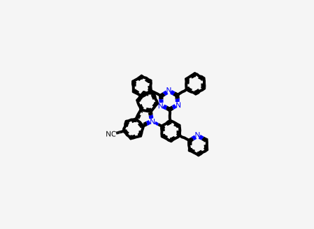 N#Cc1ccc2c(c1)c1ccccc1n2-c1ccc(-c2ccccn2)cc1-c1nc(-c2ccccc2)nc(-c2ccccc2)n1